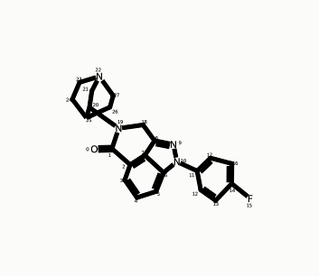 O=C1c2cccc3c2c(nn3-c2ccc(F)cc2)CN1C1CN2CCC1CC2